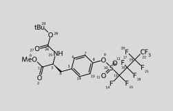 COC(=O)[C@H](Cc1ccc(OS(=O)(=O)C(F)(F)C(F)(F)C(F)(F)C(F)(F)F)cc1)NC(=O)OC(C)(C)C